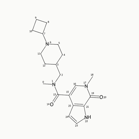 CN(CC1CCN(C2CCC2)CC1)C(=O)c1cn(C)c(=O)c2[nH]ccc12